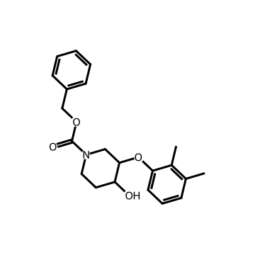 Cc1cccc(OC2CN(C(=O)OCc3ccccc3)CCC2O)c1C